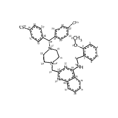 COc1ccccc1CNc1nc(CN2CCN(C(c3ccc(Cl)cc3)c3ccc(Cl)cc3)CC2)nc2ccccc12